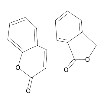 O=C1OCc2ccccc21.O=c1ccc2ccccc2o1